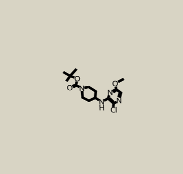 COc1cnc(Cl)c(NC2CCN(C(=O)OC(C)(C)C)CC2)n1